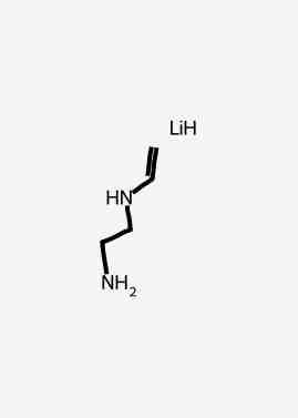 C=CNCCN.[LiH]